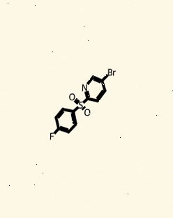 O=S(=O)(c1ccc(F)cc1)c1ccc(Br)cn1